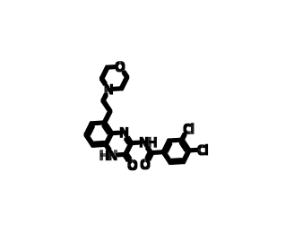 O=C(Nc1nc2c(CCN3CCOCC3)cccc2[nH]c1=O)c1ccc(Cl)c(Cl)c1